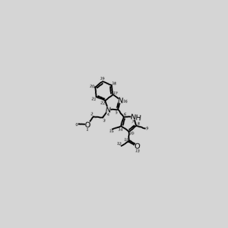 COCCn1c(-c2[nH]c(C)c(C(C)=O)c2C)nc2ccccc21